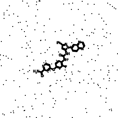 CC(C)c1cc(NC(=O)Nc2ccc(Oc3ccnc(C(N)=O)c3)cc2F)n(-c2ccc3nccnc3c2)n1